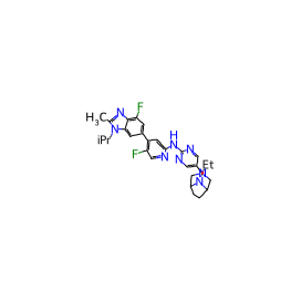 CCN1CC2CCC(C1)N2Cc1cnc(Nc2cc(-c3cc(F)c4nc(C)n(C(C)C)c4c3)c(F)cn2)nc1